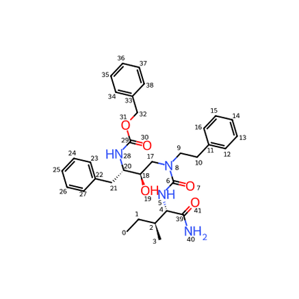 CC[C@H](C)[C@H](NC(=O)N(CCc1ccccc1)C[C@@H](O)[C@H](Cc1ccccc1)NC(=O)OCc1ccccc1)C(N)=O